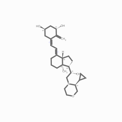 C=C1/C(=C\C=C2/CCC[C@]3(C)[C@@H]([C@H](C)CN4CCOC[C@@H]4C4CC4)CC[C@@H]23)C[C@@H](O)C[C@@H]1O